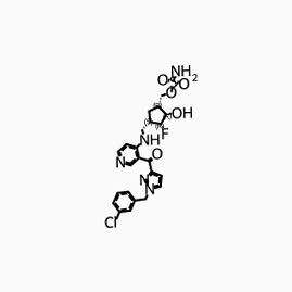 NS(=O)(=O)OC[C@H]1C[C@@H](CNc2ccncc2C(=O)c2ccn(Cc3cccc(Cl)c3)n2)[C@@H](F)[C@@H]1O